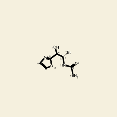 BC(=O)N[C@@H](CC)C(O)c1ncco1